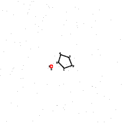 C1CCCC1.[O]